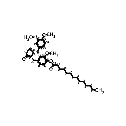 CCCCCCCCCCCCCC(=O)Oc1ccc(C[C@H]2C(=O)OC[C@@H]2Cc2ccc(OC)c(OC)c2)cc1OC